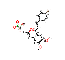 COc1cc2cc(C)[o+]c(/C=C/c3ccc(Br)cc3)c2cc1OC.[O-][Cl+3]([O-])([O-])[O-]